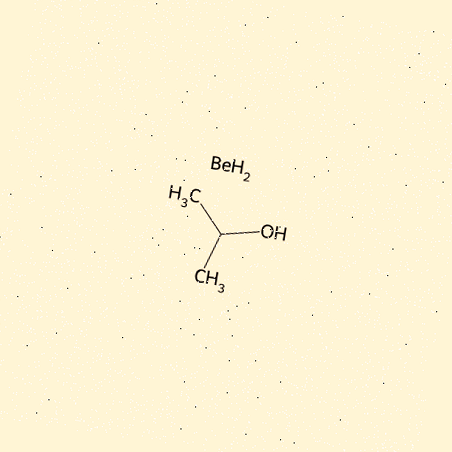 CC(C)O.[BeH2]